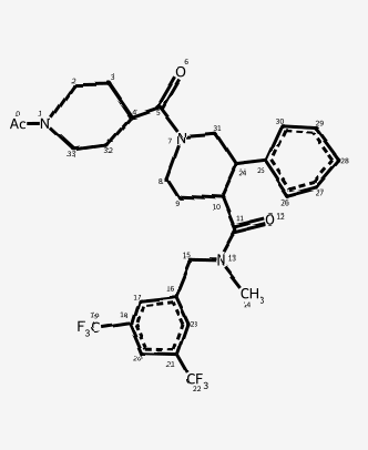 CC(=O)N1CCC(C(=O)N2CCC(C(=O)N(C)Cc3cc(C(F)(F)F)cc(C(F)(F)F)c3)C(c3ccccc3)C2)CC1